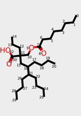 CCCCCCCC(=O)OCC(CCC)(CC(CCCC)C(CCCC)CCCC)C(=O)O